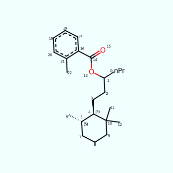 CCCC(CC[C@@H]1[C@@H](C)CCCC1(C)C)OC(=O)c1ccccc1C